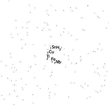 [Cu].[Fe].[Nb].[SnH2].[Ti]